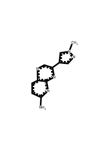 Cn1cc(-c2cnc3ccc(N)nc3n2)cn1